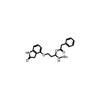 CC(C)(C)NC(CCOc1cccc2c1CC(=O)N2)OC(=O)Cc1ccccc1